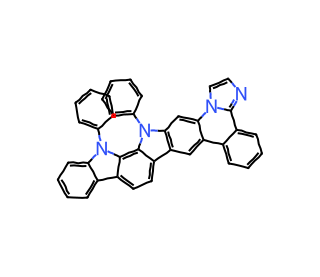 c1ccc(-n2c3ccccc3c3ccc4c5cc6c7ccccc7c7nccn7c6cc5n(-c5ccccc5)c4c32)cc1